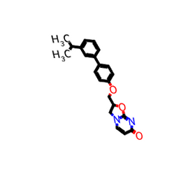 CC(C)c1cccc(-c2ccc(OCC3Cn4ccc(=O)nc4O3)cc2)c1